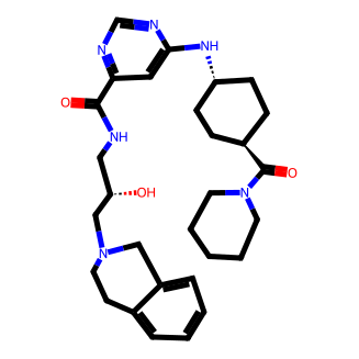 O=C(NC[C@H](O)CN1CCc2ccccc2C1)c1cc(N[C@H]2CC[C@H](C(=O)N3CCCCC3)CC2)ncn1